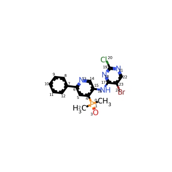 CP(C)(=O)c1cc(-c2ccccc2)ncc1Nc1nc(Cl)ncc1Br